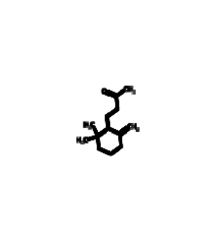 C=C1CCCC(C)(C)C1CCC(C)=O